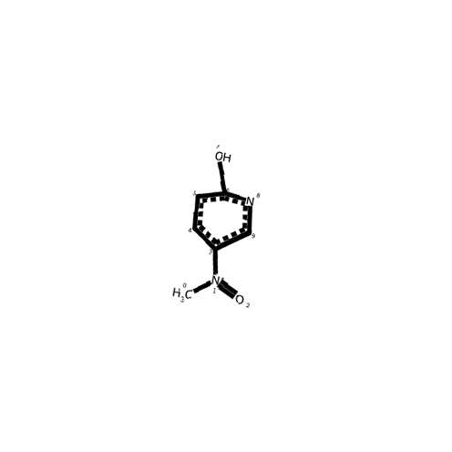 C[N+](=O)c1ccc(O)nc1